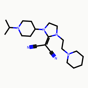 CC(C)N1CCC(N2CCN(CCN3CCCCC3)C2=C(C#N)C#N)CC1